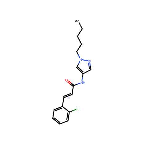 CC(=O)CCCCn1cc(NC(=O)/C=C/c2ccccc2Cl)cn1